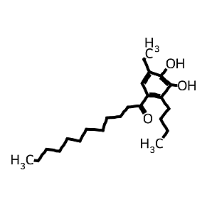 CCCCCCCCCCCC(=O)c1cc(CC)c(O)c(O)c1CCCC